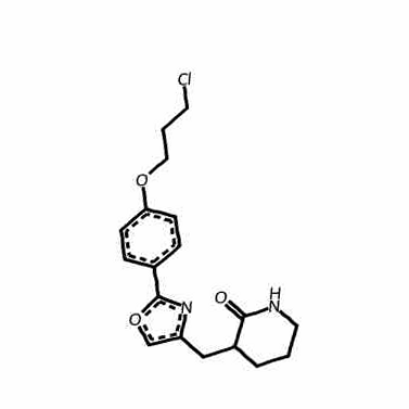 O=C1NCCCC1Cc1coc(-c2ccc(OCCCCl)cc2)n1